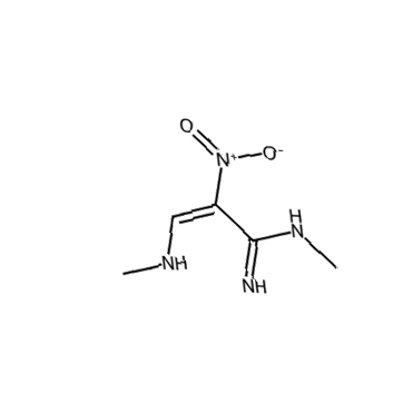 CN/C=C(\C(=N)NC)[N+](=O)[O-]